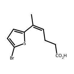 C/C(=C/CCC(=O)O)c1ccc(Br)s1